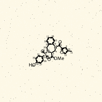 COC(=O)C1CN(C(=O)c2cc(C)co2)c2ccccc2CN1S(=O)(=O)c1ccc(O)cc1